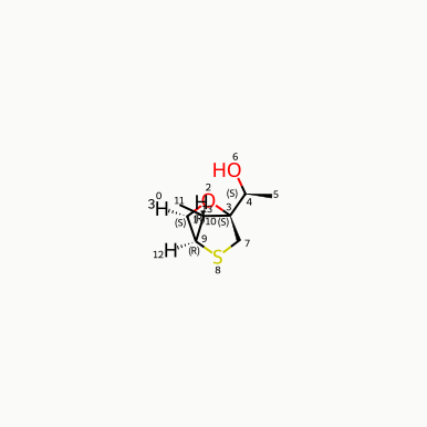 [3H][C@@H]1O[C@@]2([C@H](C)O)CS[C@@H]1[C@@H]2C